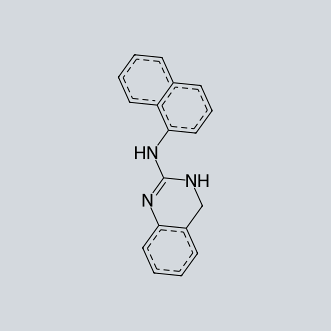 c1ccc2c(c1)CNC(Nc1cccc3ccccc13)=N2